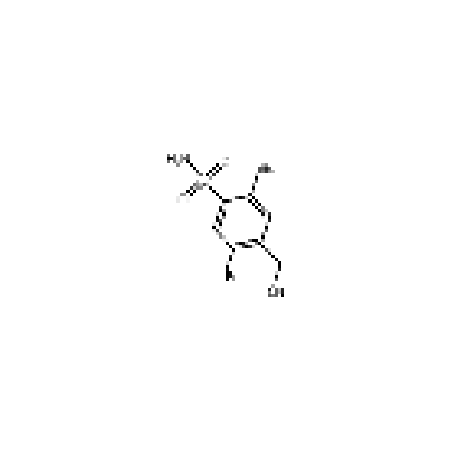 CCC(C)c1cc(CC#N)c(C(C)C)cc1S(N)(=O)=O